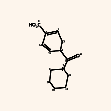 O=C(O)C1=CCC(C(=O)N2CCCCC2)C=C1